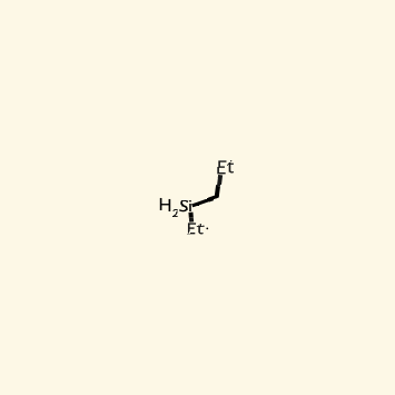 C[CH][SiH2]CCC